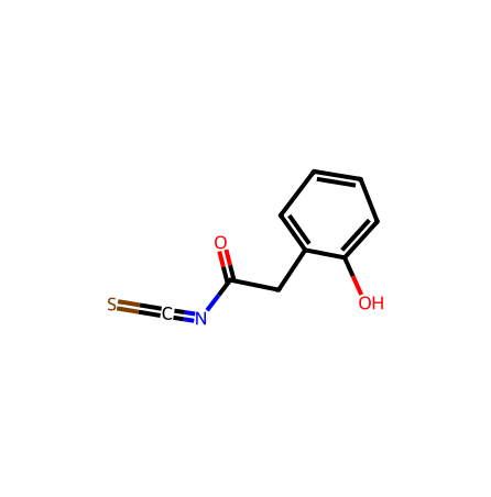 O=C(Cc1ccccc1O)N=C=S